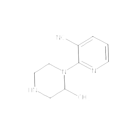 CC1CNCCN1c1ncccc1C#N